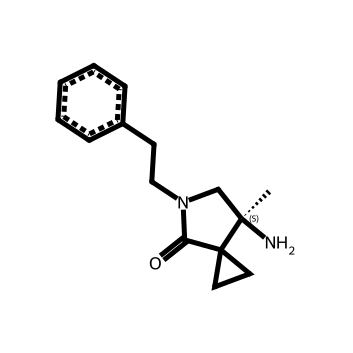 C[C@@]1(N)CN(CCc2ccccc2)C(=O)C12CC2